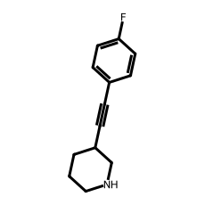 Fc1ccc(C#CC2CCCNC2)cc1